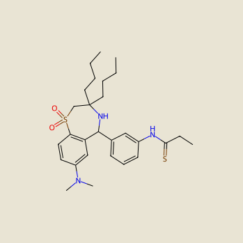 CCCCC1(CCCC)CS(=O)(=O)c2ccc(N(C)C)cc2C(c2cccc(NC(=S)CC)c2)N1